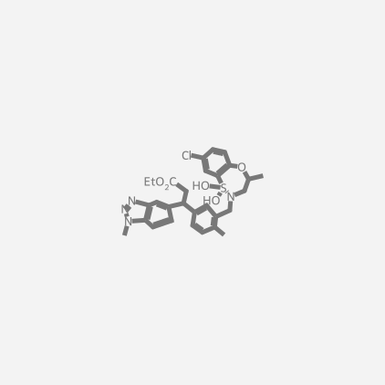 CCOC(=O)CC(c1ccc(C)c(CN2CC(C)Oc3ccc(Cl)cc3S2(O)O)c1)c1ccc2c(c1)nnn2C